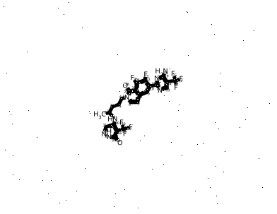 CC(CCCn1ccc2cc(-c3ncc(C(F)(F)F)c(N)n3)c(F)c(F)c2c1=O)Nc1cn[nH]c(=O)c1C(F)(F)F